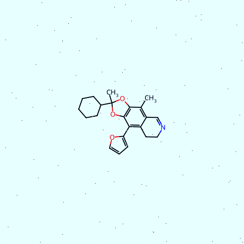 Cc1c2c(c(-c3ccco3)c3c1OC(C)(C1CCCCC1)O3)CCN=C2